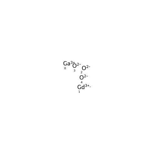 [Ga+3].[Gd+3].[O-2].[O-2].[O-2]